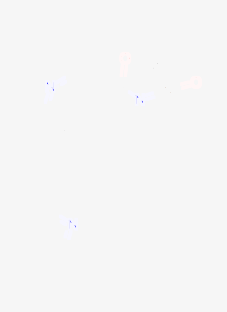 CS(=O)(=NC(=O)c1cncc(C#Cc2ccccn2)c1)c1ccccc1